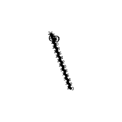 CCCCCCCCCCCCCCCCCCCCCCC(=O)OCC